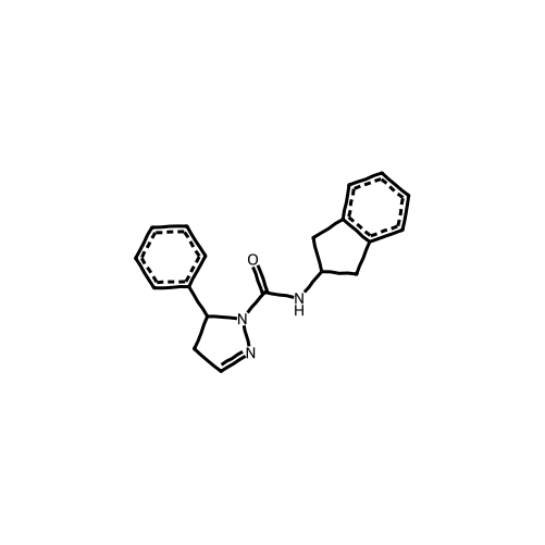 O=C(NC1Cc2ccccc2C1)N1N=CCC1c1ccccc1